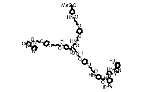 COC(=O)C1CCC(NC(=O)CCCOC2CCC(OCCNC(=O)CN(CC(=O)NCCOC3CCC(OCCCC(=O)NC4CCC(C(=O)N[C@@H]5C[C@H](N(C)C(C)C)CC[C@@H]5N5CC[C@H](Nc6ncnc7ccc(C(F)(F)F)cc67)C5=O)CC4)CC3)C(=O)C3CCC(NC(=O)CCCOC4CCC(OCCNC(=O)[C@H]5CC(=O)N(C)[C@@H]5c5cccnc5)CC4)CC3)CC2)CC1